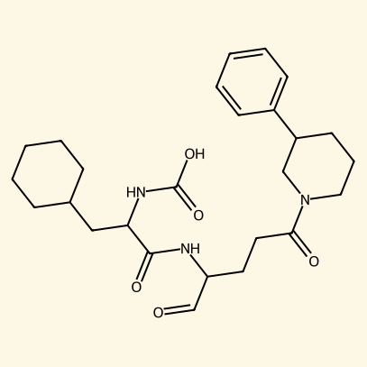 O=CC(CCC(=O)N1CCCC(c2ccccc2)C1)NC(=O)C(CC1CCCCC1)NC(=O)O